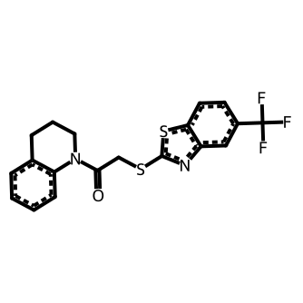 O=C(CSc1nc2cc(C(F)(F)F)ccc2s1)N1CCCc2ccccc21